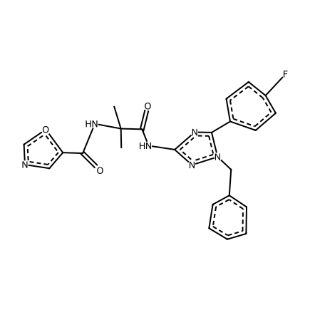 CC(C)(NC(=O)c1cnco1)C(=O)Nc1nc(-c2ccc(F)cc2)n(Cc2ccccc2)n1